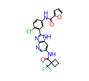 O=C(Nc1ccc(Cl)c(-c2nc3ncc(NC(=O)C4(C(F)(F)F)CCC4)cc3[nH]2)c1)c1ccco1